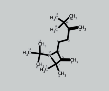 C=C(CCC1C(=C)C(C)(C)N1C(C)(C)C)C(C)(C)C